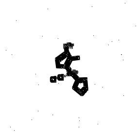 CCCC1=CC[C]([Zr+2][C]2=CC=CC2)=C1C.[Cl-].[Cl-]